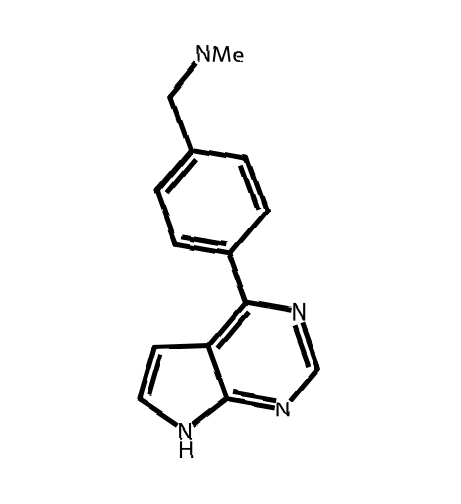 CNCc1ccc(-c2ncnc3[nH]ccc23)cc1